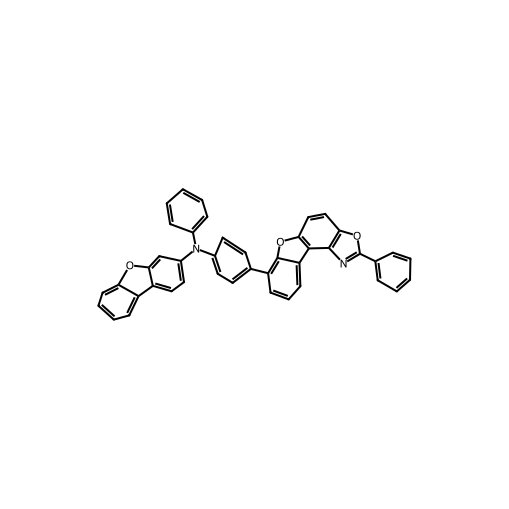 c1ccc(-c2nc3c(ccc4oc5c(-c6ccc(N(c7ccccc7)c7ccc8c(c7)oc7ccccc78)cc6)cccc5c43)o2)cc1